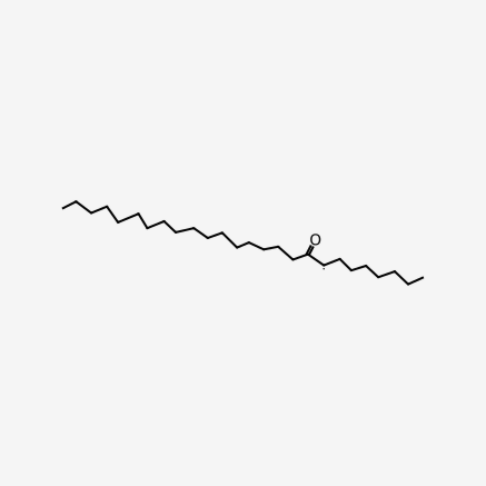 CCCCCCC[CH]C(=O)CCCCCCCCCCCCCCCCC